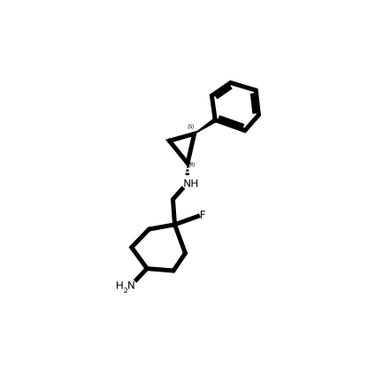 NC1CCC(F)(CN[C@@H]2C[C@H]2c2ccccc2)CC1